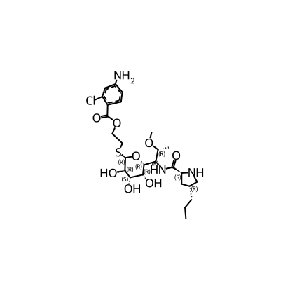 CCC[C@H]1CN[C@H](C(=O)N[C@@H]([C@H]2O[C@H](SCCOC(=O)c3ccc(N)cc3Cl)[C@H](O)[C@@H](O)[C@H]2O)[C@@H](C)OC)C1